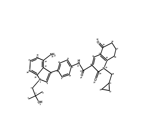 CC(C)(O)Cn1cc(-c2ccc(NC(=O)c3cc4c(n(CC5CC5)c3=O)CCCC4=O)cc2)c2c(N)ncnc21